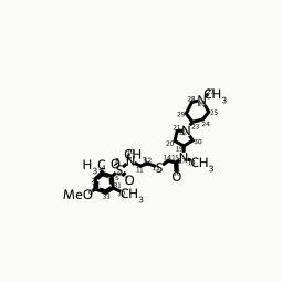 COc1cc(C)c(S(=O)(=O)N(C)CCSCC(=O)N(C)C2CCN(C3CCN(C)CC3)C2)c(C)c1